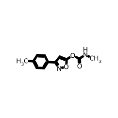 CNC(=O)Oc1cc(-c2ccc(C)cc2)no1